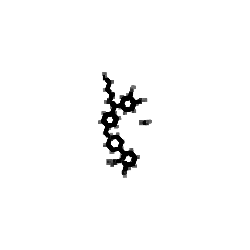 Cl.Cn1c(C2CCN(Cc3ccc(C(=NOCCF)c4ccc(F)c(F)c4)cc3)CC2)cccc1=O